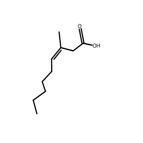 CCCCCC=C(C)CC(=O)O